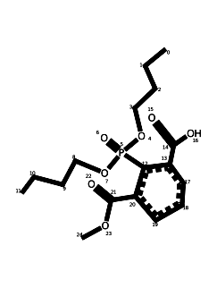 CCCCOP(=O)(OCCCC)c1c(C(=O)O)cccc1C(=O)OC